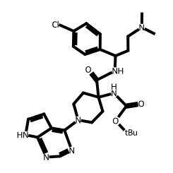 CN(C)CCC(NC(=O)C1(NC(=O)OC(C)(C)C)CCN(c2ncnc3[nH]ccc23)CC1)c1ccc(Cl)cc1